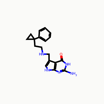 Nc1nc2[nH]cc(CNCCC3(c4ccccc4)CC3)c2c(=O)[nH]1